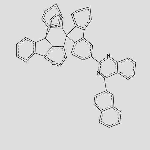 c1ccc(C23c4ccccc4-c4cccc(c42)C2(c4ccccc4-c4cc(-c5nc(-c6ccc7ccccc7c6)c6ccccc6n5)ccc42)c2ccccc23)cc1